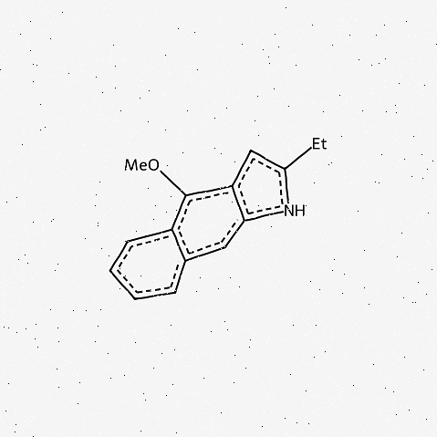 CCc1cc2c(OC)c3ccccc3cc2[nH]1